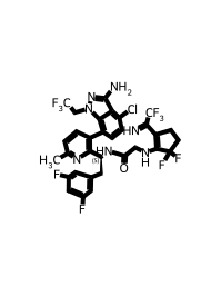 Cc1ccc(-c2ccc(Cl)c3c(N)nn(CC(F)(F)F)c23)c([C@H](Cc2cc(F)cc(F)c2)NC(=O)CNC2=C(C(=N)C(F)(F)F)CCC2(F)F)n1